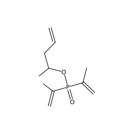 C=CCC(C)OP(=O)(C(=C)C)C(=C)C